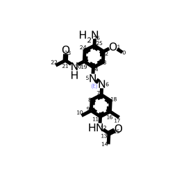 COc1cc(/N=N/c2cc(C)c(NC(C)=O)c(C)c2)c(NC(C)=O)cc1N